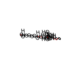 CC(C)(C)OC(=O)NCCOCCOCCOCCOCCC(=O)NCCOCCOCCO[C@]1(C(=O)O)C[C@H](O)[C@@H](NC(=O)CO)[C@H]([C@H](O)[C@H](O)CNC(=O)Cc2ccc(-c3ccccc3)cc2)O1